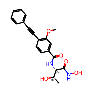 COc1cc(C(=O)N[C@H](C(=O)NO)[C@@H](C)O)ccc1C#Cc1ccccc1